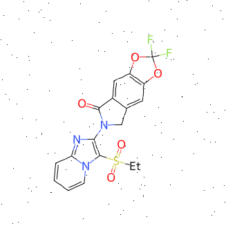 CCS(=O)(=O)c1c(N2Cc3cc4c(cc3C2=O)OC(F)(F)O4)nc2ccccn12